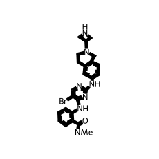 CNC(=O)c1ccccc1Nc1nc(Nc2ccc3c(c2)CCN(C2CNC2)C3)ncc1Br